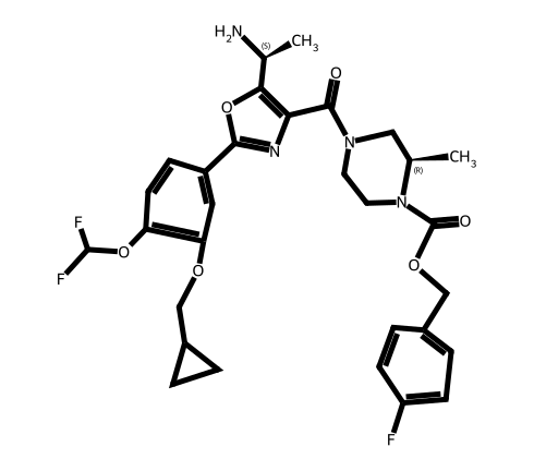 C[C@H](N)c1oc(-c2ccc(OC(F)F)c(OCC3CC3)c2)nc1C(=O)N1CCN(C(=O)OCc2ccc(F)cc2)[C@H](C)C1